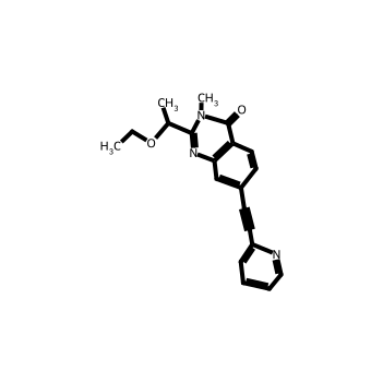 CCOC(C)c1nc2cc(C#Cc3ccccn3)ccc2c(=O)n1C